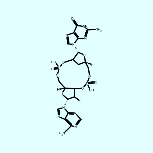 Nc1nc2c(ncn2[C@@H]2O[C@@H]3COP(=O)(O)OC4C(F)[C@H](n5cnc6c(N)ncnc65)O[C@@H]4COP(=O)(O)OC2C3)c(=O)[nH]1